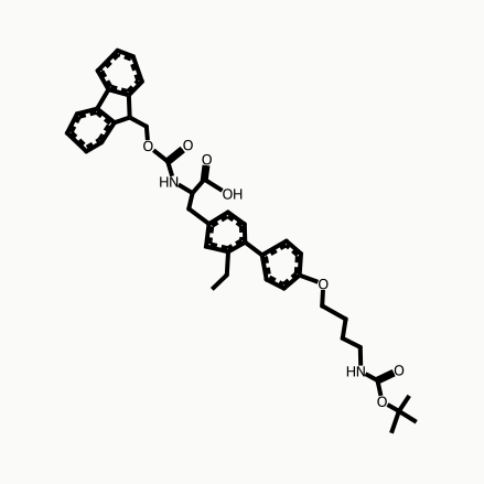 CCc1cc(CC(NC(=O)OCC2c3ccccc3-c3ccccc32)C(=O)O)ccc1-c1ccc(OCCCCNC(=O)OC(C)(C)C)cc1